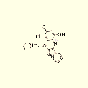 O=C1C=C(O)/C(=N/c2c(OCCN3CCCC3)nn3ccccc23)C=C1Cl